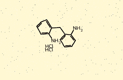 Cl.Cl.Nc1ccccc1Cc1ccccc1N